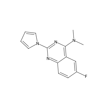 CN(C)c1nc(-n2cccc2)nc2ccc(F)cc12